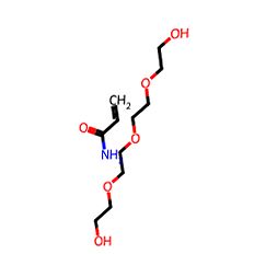 C=CC(N)=O.OCCOCCOCCOCCO